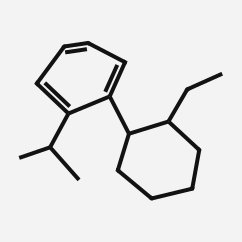 CCC1CCCCC1c1ccccc1C(C)C